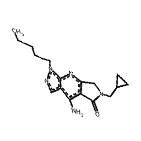 CCCCCn1ncc2c(N)c3c(nc21)CN(CC1CC1)C3=O